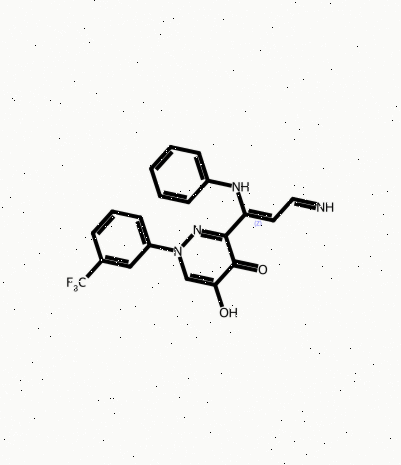 N=C/C=C(\Nc1ccccc1)c1nn(-c2cccc(C(F)(F)F)c2)cc(O)c1=O